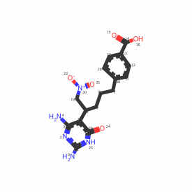 Nc1nc(N)c(C(CCCc2ccc(C(=O)O)cc2)C[N+](=O)[O-])c(=O)[nH]1